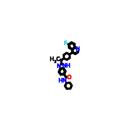 CC(c1nc2ccc(C(=O)NC3CCCCC3)cc2[nH]1)C1CCC(c2ccnc3ccc(F)cc23)CC1